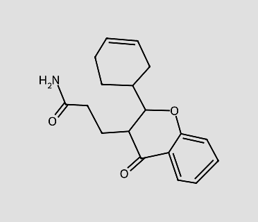 NC(=O)CCC1C(=O)c2ccccc2OC1C1CC=CCC1